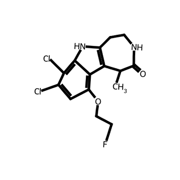 CC1C(=O)NCCc2[nH]c3c(Cl)c(Cl)cc(OCCF)c3c21